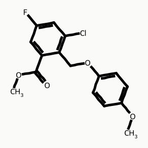 COC(=O)c1cc(F)cc(Cl)c1COc1ccc(OC)cc1